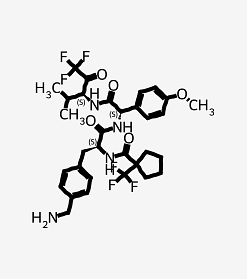 COc1ccc([C@H](NC(=O)[C@H](Cc2ccc(CN)cc2)NC(=O)C2(C(F)(F)F)CCCC2)C(=O)N[C@H](C(=O)C(F)(F)F)C(C)C)cc1